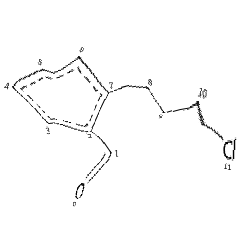 O=Cc1ccccc1CCCCl